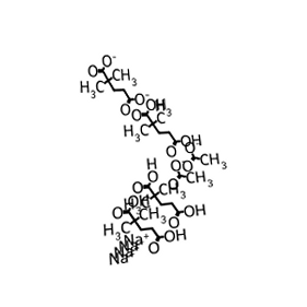 CC(=O)[O-].CC(=O)[O-].CC(C)(CCC(=O)O)C(=O)O.CC(C)(CCC(=O)O)C(=O)O.CC(C)(CCC(=O)O)C(=O)O.CC(C)(CCC(=O)[O-])C(=O)[O-].[Na+].[Na+].[Na+].[Na+]